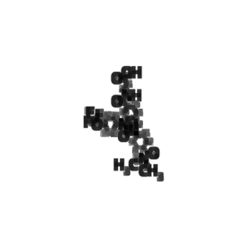 CCN(CC)C(=O)C1CCC(N(Cc2ccc(C(=O)NCCC(=O)O)cc2)C(=O)Nc2ccc(OC(F)(F)F)cc2)CC1